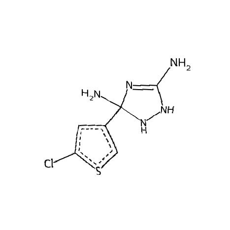 NC1=NC(N)(c2csc(Cl)c2)NN1